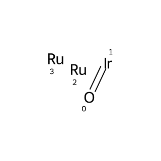 [O]=[Ir].[Ru].[Ru]